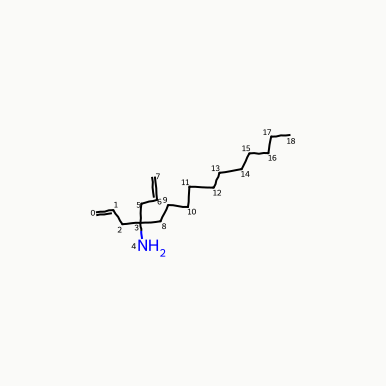 C=CCC(N)(CC=C)CCCCCCCCCCC